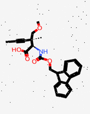 CC#C[C@@](C)(COC)[C@@H](NC(=O)OCC1c2ccccc2-c2ccccc21)C(=O)O